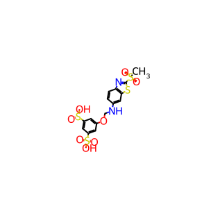 CS(=O)(=O)c1nc2ccc(NCOc3cc(S(=O)O)cc(S(=O)(=O)O)c3)cc2s1